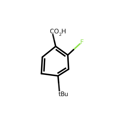 CC(C)(C)c1ccc(C(=O)O)c(F)c1